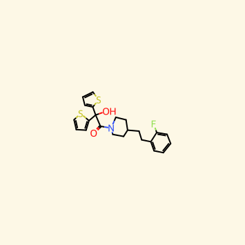 O=C(N1CCC(CCc2ccccc2F)CC1)C(O)(c1cccs1)c1cccs1